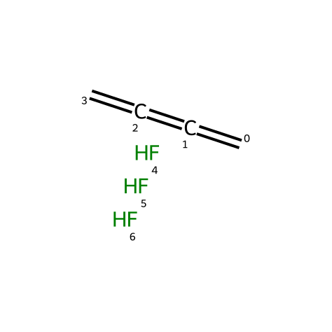 C=C=C=C.F.F.F